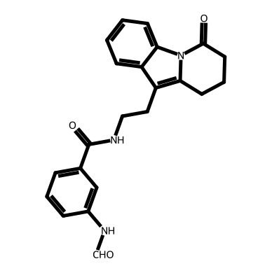 O=CNc1cccc(C(=O)NCCc2c3n(c4ccccc24)C(=O)CCC3)c1